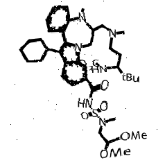 COC(CN(C)S(=O)(=O)NC(=O)c1ccc2c(C3CCCCC3)c3n(c2c1)CC(CN(C)CCC(NC(=O)O)C(C)(C)C)N(C)c1ccccc1-3)OC